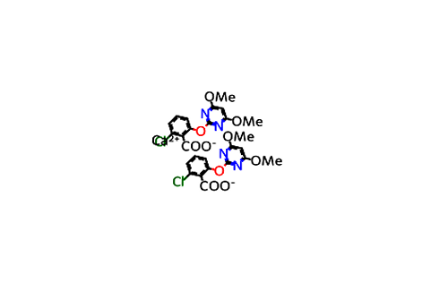 COc1cc(OC)nc(Oc2cccc(Cl)c2C(=O)[O-])n1.COc1cc(OC)nc(Oc2cccc(Cl)c2C(=O)[O-])n1.[Ca+2]